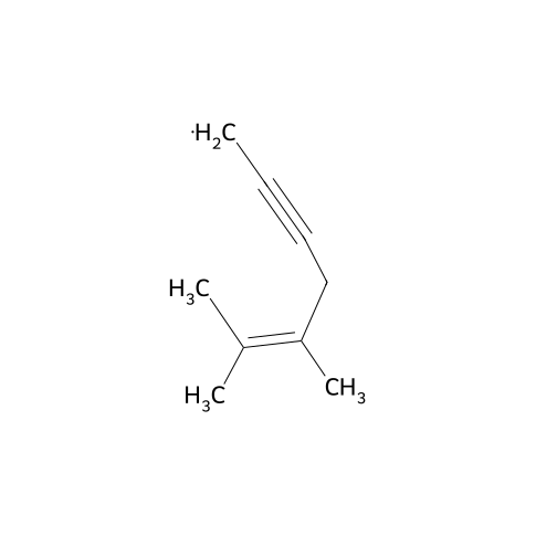 [CH2]C#CCC(C)=C(C)C